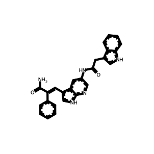 NC(=O)/C(=C/c1c[nH]c2ncc(NC(=O)Cc3c[nH]c4ccccc34)cc12)c1ccccc1